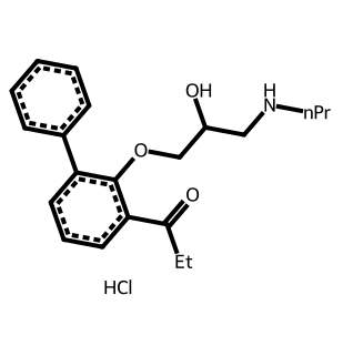 CCCNCC(O)COc1c(C(=O)CC)cccc1-c1ccccc1.Cl